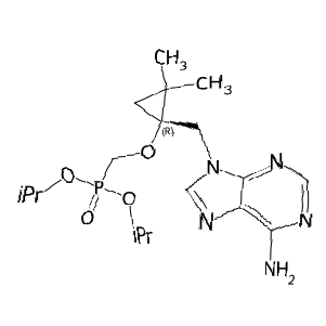 CC(C)OP(=O)(CO[C@]1(Cn2cnc3c(N)ncnc32)CC1(C)C)OC(C)C